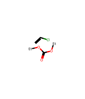 C=CCl.CCOC(=O)OCC